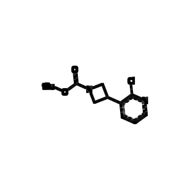 CC(C)(C)OC(=O)N1CC(c2cccnc2Cl)C1